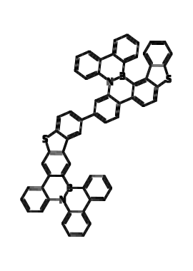 c1ccc2c(c1)B1c3cc4c(cc3-c3ccccc3N1c1ccccc1-2)sc1ccc(-c2ccc3c(c2)N2B(c5ccccc5-c5ccccc52)c2c-3ccc3sc5ccccc5c23)cc14